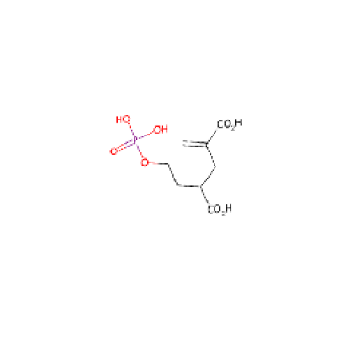 C=C(CC(CCOP(=O)(O)O)C(=O)O)C(=O)O